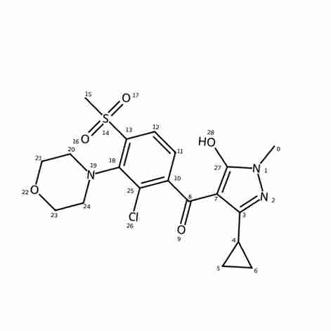 Cn1nc(C2CC2)c(C(=O)c2ccc(S(C)(=O)=O)c(N3CCOCC3)c2Cl)c1O